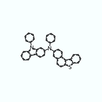 c1ccc(N(c2ccc3c(ccc4sc5ccccc5c43)c2)c2ccc3c4ccccc4n(-c4ccccc4)c3c2)cc1